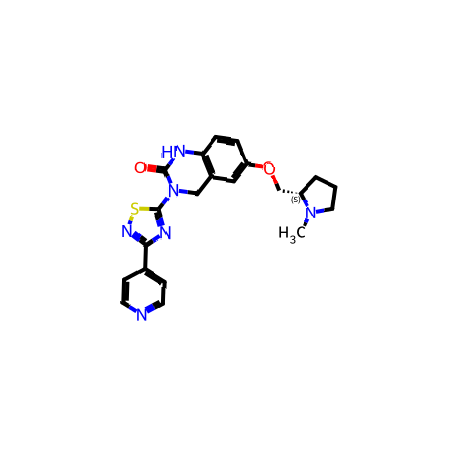 CN1CCC[C@H]1COc1ccc2c(c1)CN(c1nc(-c3ccncc3)ns1)C(=O)N2